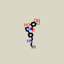 CC(C)CCNCc1ccc(C2CCCN2C(=O)c2cc(Cl)c(O)cc2O)cc1